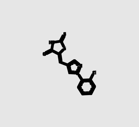 O=C1NC(=S)S/C1=C\c1cnn(-c2ccccc2Cl)c1